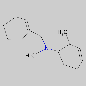 C[C@@H]1C=CCCC1N(C)CC1=CCCCC1